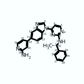 C[C@H](Nc1nccc(-n2cnc3cc(-c4ccnc(N)c4)ccc32)n1)c1ccccc1